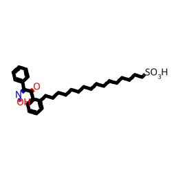 O=C(C(=NO)c1ccccc1)c1ccccc1CCCCCCCCCCCCCCCCS(=O)(=O)O